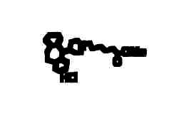 COC(=O)CCCCCN1CCC(=C2c3ccccc3CCc3ccccc32)CC1.Cl